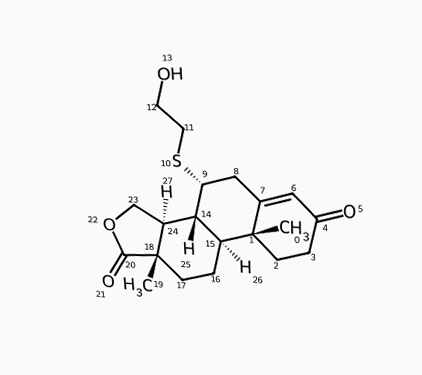 C[C@]12CCC(=O)C=C1C[C@@H](SCCO)[C@@H]1[C@@H]2CC[C@]2(C)C(=O)OC[C@@H]12